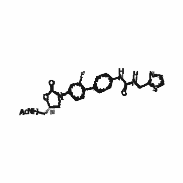 CC(=O)NC[C@H]1CN(c2ccc(-c3ccc(NC(=O)NCc4nccs4)cc3)c(F)c2)C(=O)O1